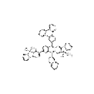 CC1(C)c2ccccc2-c2ccc(-c3ccc4c(-c5ccc6c7ccccc7c7ccccc7c6c5)c5cc6c(cc5c(-c5ccc7ccccc7c5)c4c3)[Si](C)(C)c3ccccc3-6)cc21